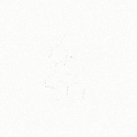 CC1(C)CC([N+]2(c3ccccc3[N+](=O)[O-])N=CC=C2c2ccc(Cl)cc2)CC(C)(C)O1